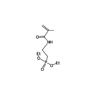 C=C(C)C(=O)NCCP(=O)(OCC)OCC